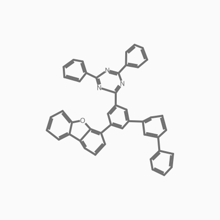 c1ccc(-c2cccc(-c3cc(-c4nc(-c5ccccc5)nc(-c5ccccc5)n4)cc(-c4cccc5c4oc4ccccc45)c3)c2)cc1